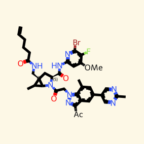 C=CCCCC(=O)NC[C@@]12C[C@@H](C(=O)Nc3cc(OC)c(F)c(Br)n3)N(C(=O)Cn3nc(C(C)=O)c4cc(-c5cnc(C)nc5)cc(C)c43)C1C2C